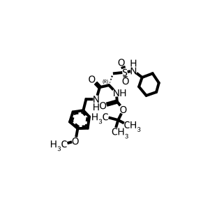 COc1ccc(CNC(=O)[C@H](CS(=O)(=O)NC2CCCCC2)NC(=O)OC(C)(C)C)cc1